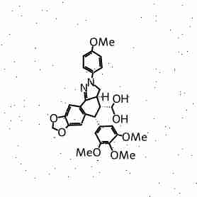 COc1ccc(N2C[C@@H]3C(=N2)c2cc4c(cc2[C@@H](c2cc(OC)c(OC)c(OC)c2)[C@H]3C(O)O)OCO4)cc1